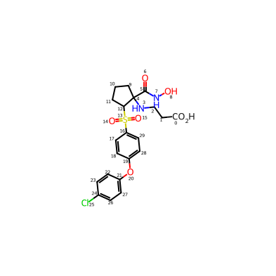 O=C(O)CCNC1(C(=O)NO)CCCC1S(=O)(=O)c1ccc(Oc2ccc(Cl)cc2)cc1